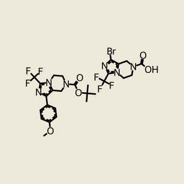 COc1ccc(-c2nc(C(F)(F)F)n3c2CN(C(=O)OC(C)(C)C)CC3)cc1.O=C(O)N1CCn2c(C(F)(F)F)nc(Br)c2C1